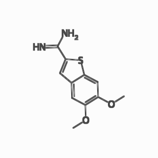 COc1cc2cc(C(=N)N)sc2cc1OC